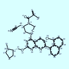 C=C(F)C(=O)N1CCN(c2nc(OC[C@@H]3CCCN3C)nc3nc(-c4cccc5cccc(Cl)c45)ccc23)C[C@@H]1CC#N